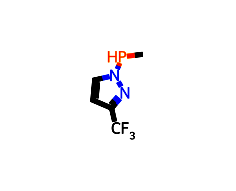 CPn1ccc(C(F)(F)F)n1